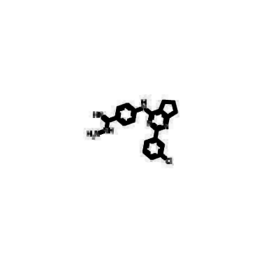 N=C(NN)c1ccc(Nc2nc(-c3cccc(Cl)c3)nc3c2CCC3)cc1